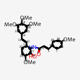 COc1ccc(/C=C/C(=O)Nc2c(C=Cc3cc(OC)c(OC)c(OC)c3)ccc(OC)c2O)cc1